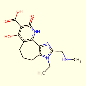 CCn1c(CNC)nc2c1CCCc1c-2[nH]c(=O)c(C(=O)O)c1O